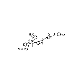 COC(=O)c1cccc(NCc2nc(-c3cccc(C)n3)c(-c3ccc4ncc(OCCNC(=O)CCCOc5ccc(C(C)=O)cc5)cc4c3)[nH]2)c1F